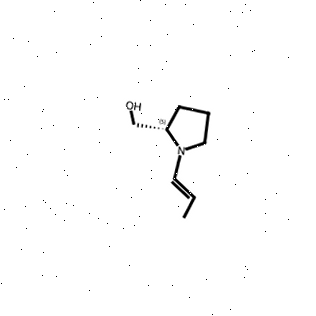 CC=CN1CCC[C@H]1CO